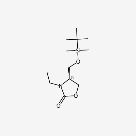 [CH2]CN1C(=O)OC[C@@H]1CO[Si](C)(C)C(C)(C)C